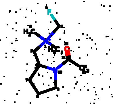 C[N+](C)(CF)CC1CCCN1C(=O)C(F)(F)F